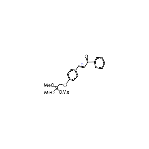 CO[Si](COc1ccc(/C=C/C(=O)c2ccccc2)cc1)(OC)OC